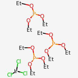 CCOP(OCC)OCC.CCOP(OCC)OCC.CCOP(OCC)OCC.[Cl][Ir]([Cl])[Cl]